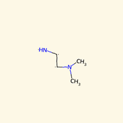 CN(C)[CH][CH][NH]